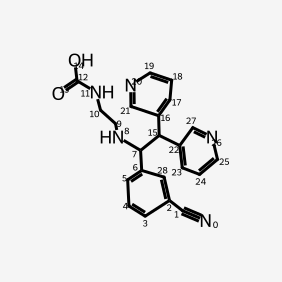 N#Cc1cccc(C(NCCNC(=O)O)C(c2cccnc2)c2cccnc2)c1